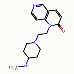 O=C(O)NC1CCN(CCn2c(=O)ccc3cnccc32)CC1